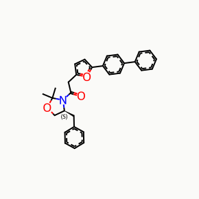 CC1(C)OC[C@H](Cc2ccccc2)N1C(=O)Cc1ccc(-c2ccc(-c3ccccc3)cc2)o1